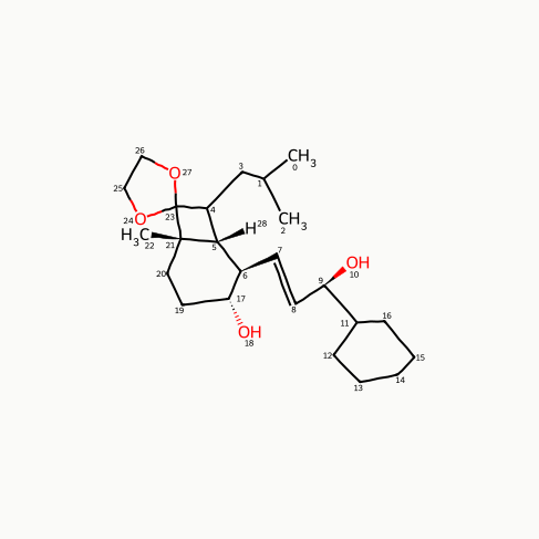 CC(C)CC1[C@@H]2[C@@H](/C=C/[C@@H](O)C3CCCCC3)[C@H](O)CC[C@]2(C)C12OCCO2